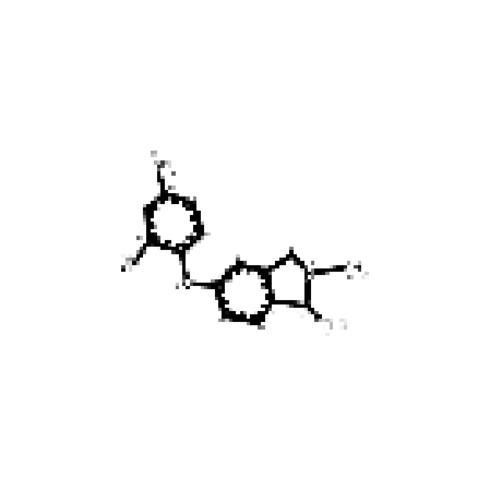 CN1Cc2cc(Oc3ccc(N)cc3Cl)ccc2C1C=O